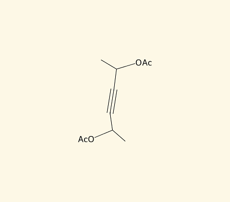 CC(=O)OC(C)C#CC(C)OC(C)=O